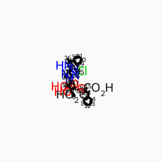 C#C[C@@]1(O)[C@@H](COC(Cc2ccccc2)(C(=O)O)C(=O)O)O[C@@H](n2cnc3c(NC(C)c4ccccc4)nc(Cl)nc32)[C@@H]1O